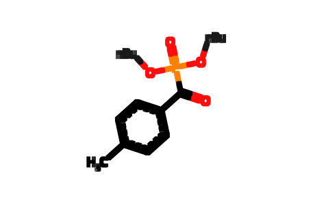 CCCCOP(=O)(OCCCC)C(=O)c1ccc(C)cc1